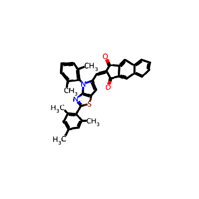 Cc1cc(C)c(-c2nc3c(cc(C=C4C(=O)c5cc6ccccc6cc5C4=O)n3-c3c(C)cccc3C)s2)c(C)c1